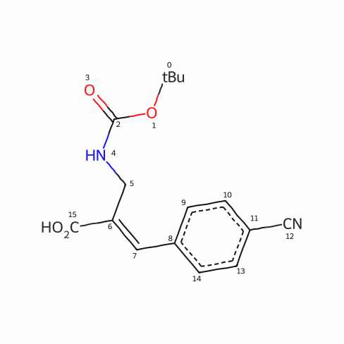 CC(C)(C)OC(=O)NCC(=Cc1ccc(C#N)cc1)C(=O)O